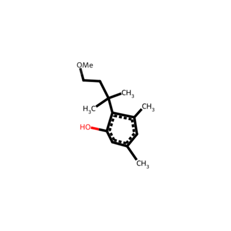 COCCC(C)(C)c1c(C)cc(C)cc1O